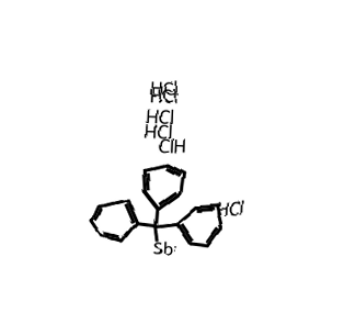 Cl.Cl.Cl.Cl.Cl.Cl.[Sb][C](c1ccccc1)(c1ccccc1)c1ccccc1